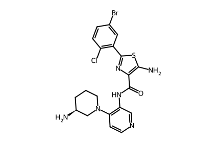 Nc1sc(-c2cc(Br)ccc2Cl)nc1C(=O)Nc1cnccc1N1CCC[C@H](N)C1